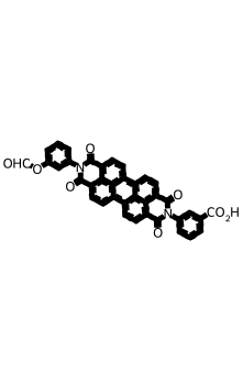 O=COc1cccc(N2C(=O)c3ccc4c5ccc6c7c(ccc(c8ccc(c3c48)C2=O)c75)C(=O)N(c2cccc(C(=O)O)c2)C6=O)c1